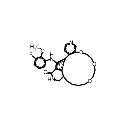 COc1c(F)cccc1Nc1c2[nH]c3c1C(=O)NCC3CCCCOCCOCCOc1cnccc1-2